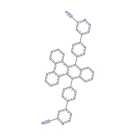 N#Cc1cc(-c2ccc(-c3c4ccccc4c(-c4ccc(-c5ccnc(C#N)c5)cc4)c4c5ccccc5c5ccccc5c34)cc2)ccn1